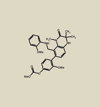 COC(=O)Oc1ccc(-c2ccc3c(c2CNc2ccccc2OC)N(C)C(=O)C(C)(C)N3)c(OC)c1